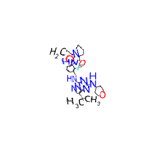 C=CC(=O)N1CCCCC1C(=O)Nc1cccc(CNc2nc(NC3CCOCC3)nc3c(C(C)C)cnn23)c1F